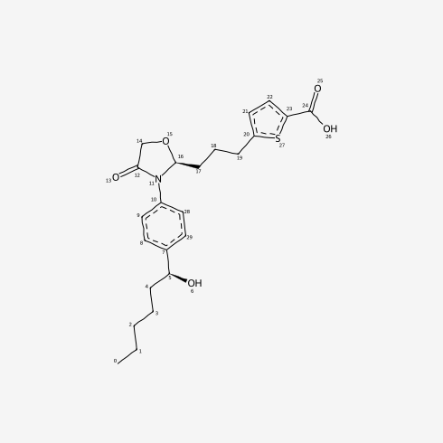 CCCCC[C@H](O)c1ccc(N2C(=O)CO[C@H]2CCCc2ccc(C(=O)O)s2)cc1